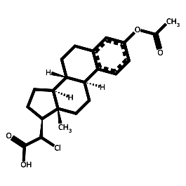 CC(=O)Oc1ccc2c(c1)CC[C@@H]1[C@@H]2CC[C@]2(C)[C@@H](C(Cl)C(=O)O)CC[C@@H]12